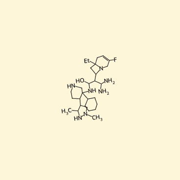 CCC12CC=C(F)CN1C(C(C(N)N)C(O)NC1(C3CCCCC3)CNCCC1C1CN(C)NC1C)C2